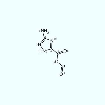 Nc1n[nH]c(C(=O)OC=O)n1